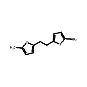 Cc1ccc(CCc2ccc(C(C)(C)C)s2)s1